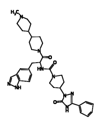 CN1CCC(C2CCN(C(=O)C(Cc3ccc4[nH]ncc4c3)NC(=O)N3CCC(n4nc(-c5ccccc5)[nH]c4=O)CC3)CC2)CC1